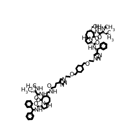 CC[C@H](NC)C(=O)N[C@@H]1C(=O)N2[C@@H](CC[C@@H]1CNC(=O)CCc1cn(CCOCC3CCC(COCCn4cc([C@@H](NC(=O)[C@@H]5CC[C@@H]6CC[C@H](CO)[C@H](NC(=O)[C@H](CC)NC)C(=O)N65)c5ccccc5)nn4)CC3)nn1)CC[C@H]2C(=O)NC(c1ccccc1)c1ccccc1